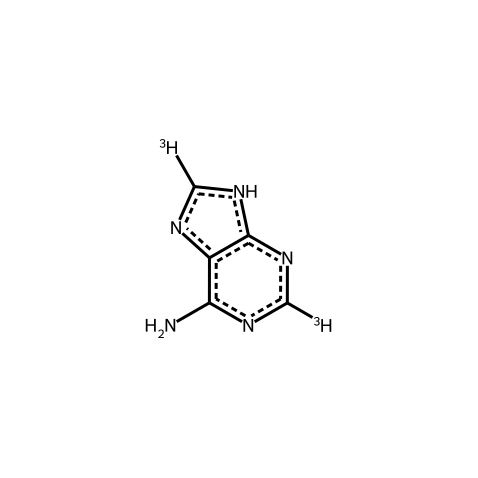 [3H]c1nc(N)c2nc([3H])[nH]c2n1